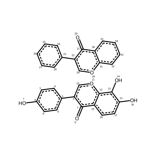 O=c1c(-c2ccc(O)cc2)coc2c(O)c(O)ccc12.O=c1c(-c2ccccc2)coc2ccccc12